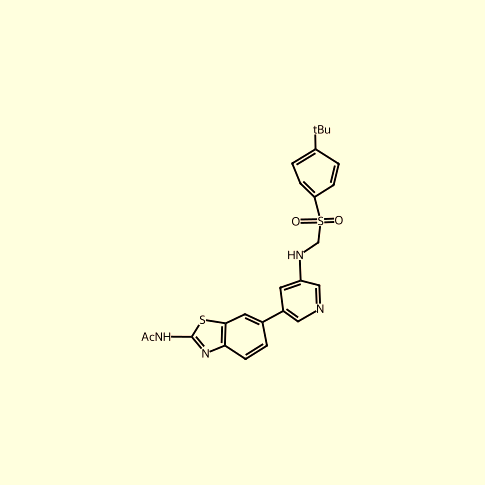 CC(=O)Nc1nc2ccc(-c3cncc(NCS(=O)(=O)c4ccc(C(C)(C)C)cc4)c3)cc2s1